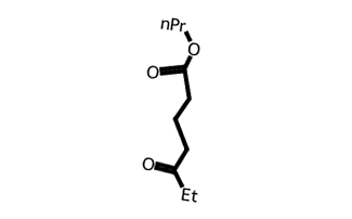 CCCOC(=O)CCCC(=O)CC